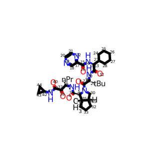 CCC[C@H](NC(=O)[C@H]1N(C(=O)[C@H](NC(=O)[C@@H](NC(=O)c2cnccn2)C2CCCCC2)C(C)(C)C)C[C@@H]2CCC[C@@]21C)C(=O)C(=O)NC1CC1